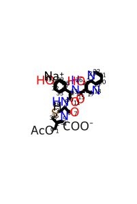 CC(=O)OCC1=C(C(=O)[O-])N2C(=O)C(NC(=O)C(NC(=O)c3cnc4cccnc4c3O)c3ccc(O)cc3)[C@@H]2SC1.[Na+]